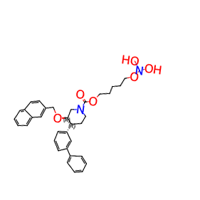 O=C(OCCCCCON(O)O)N1CC[C@H](c2cccc(-c3ccccc3)c2)[C@@H](OCc2ccc3ccccc3c2)C1